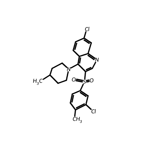 Cc1ccc(S(=O)(=O)c2cnc3cc(Cl)ccc3c2N2CCC(C)CC2)cc1Cl